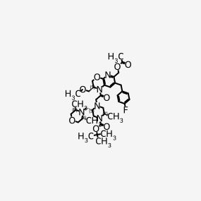 COC[C@H]1COc2nc(COC(C)=O)c(Cc3ccc(F)cc3)cc2N1C(=O)CN1C[C@@H](C)N(C(=O)OC(C)(C)C)C[C@@H]1CN1[C@H](C)COC[C@H]1C